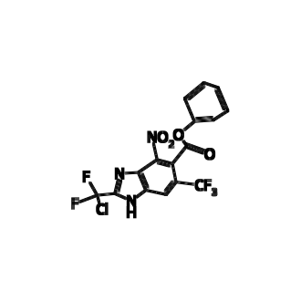 O=C(Oc1ccccc1)c1c(C(F)(F)F)cc2[nH]c(C(F)(F)Cl)nc2c1[N+](=O)[O-]